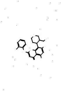 O=c1cc(Oc2ccccc2Cl)oc2c(C3CCNCC3CO)c(O)cc(O)c12